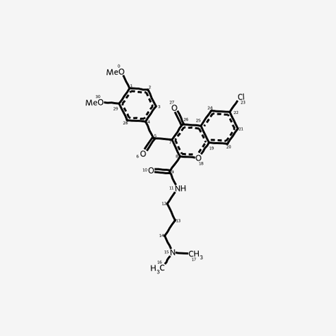 COc1ccc(C(=O)c2c(C(=O)NCCCN(C)C)oc3ccc(Cl)cc3c2=O)cc1OC